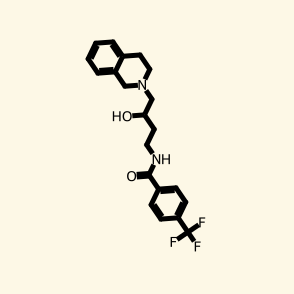 O=C(NCCC(O)CN1CCc2ccccc2C1)c1ccc(C(F)(F)F)cc1